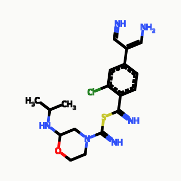 CC(C)NC1CN(C(=N)SC(=N)c2ccc(/C(C=N)=C/N)cc2Cl)CCO1